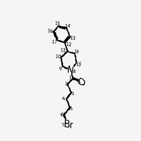 O=C(CCCCCBr)N1CCC(c2ccccc2)CC1